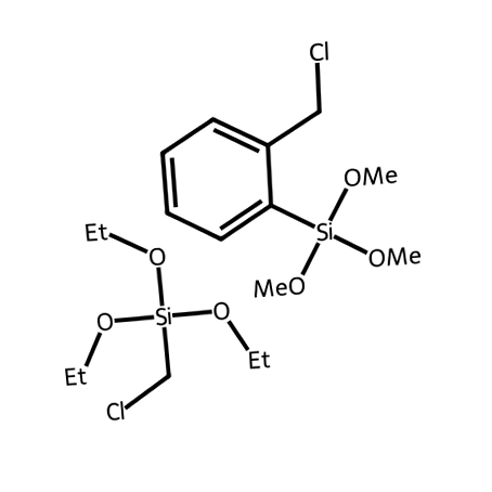 CCO[Si](CCl)(OCC)OCC.CO[Si](OC)(OC)c1ccccc1CCl